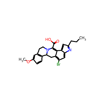 CCCC1=Nc2cc(Br)c3c(c2=C1)=C(C(=O)O)N1CCc2cc(OC)ccc2C1C3